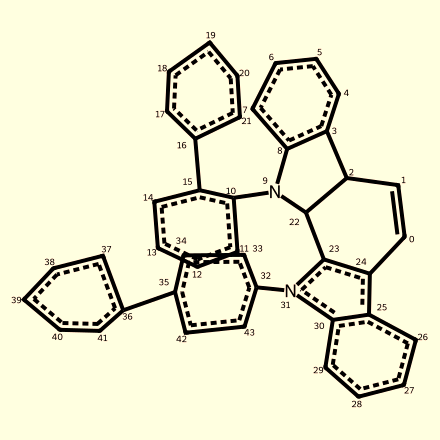 C1=CC2c3ccccc3N(c3ccccc3-c3ccccc3)C2c2c1c1ccccc1n2-c1ccc(-c2ccccc2)cc1